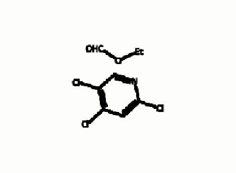 CCOC=O.Clc1cc(Cl)c(Cl)cn1